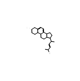 CC(C)C(C)/C=C/C(C)C1CCC2C3=CC=C4C[C@@H](O)CC[C@]4(C)C3CC[C@@]21C